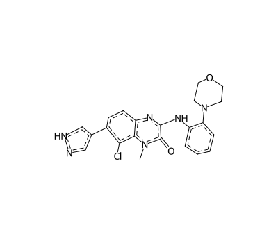 Cn1c(=O)c(Nc2ccccc2N2CCOCC2)nc2ccc(-c3cn[nH]c3)c(Cl)c21